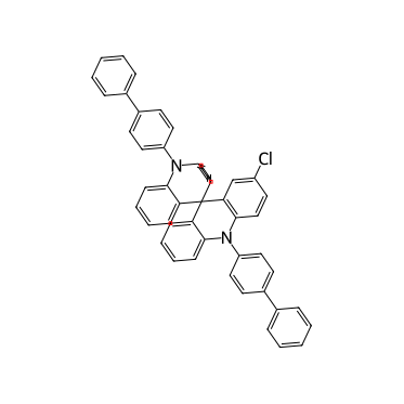 Clc1ccc2c(c1)C1(c3ccccc3N(c3ccc(-c4ccccc4)cc3)c3ccccc31)c1ccccc1N2c1ccc(-c2ccccc2)cc1